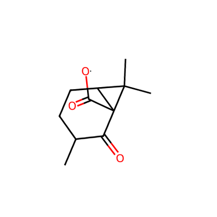 CC1CCC2C(C)(C)C2(C([O])=O)C1=O